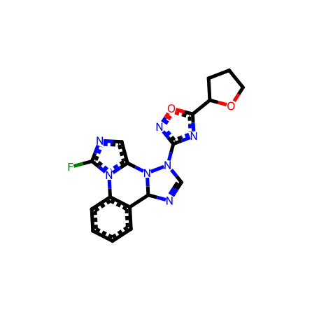 Fc1ncc2n1-c1ccccc1C1N=CN(c3noc(C4CCCO4)n3)N21